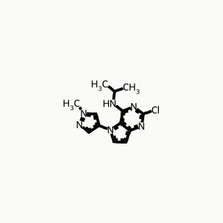 CC(C)Nc1nc(Cl)nc2ccn(-c3cnn(C)c3)c12